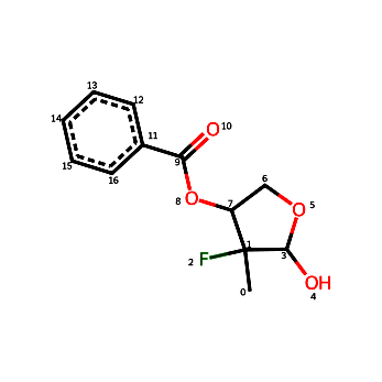 CC1(F)C(O)OCC1OC(=O)c1ccccc1